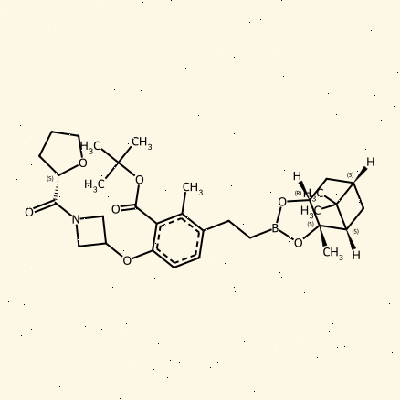 Cc1c(CCB2O[C@@H]3C[C@@H]4C[C@@H](C4(C)C)[C@]3(C)O2)ccc(OC2CN(C(=O)[C@@H]3CCCO3)C2)c1C(=O)OC(C)(C)C